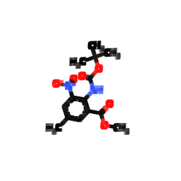 COC(=O)c1cc(C)cc([N+](=O)[O-])c1NC(=O)OC(C)(C)C